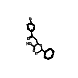 O=C(CC(SC(Cl)c1ccccc1)C(=O)O)c1ccc(Cl)cc1